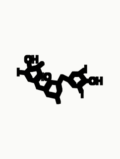 Cc1cc(Cc2cc(C)c(O)c(I)c2)c(O)c(Cc2cc(I)c(O)c(I)c2)c1